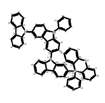 c1ccc(-n2c3ccc(-n4c5ccccc5c5ccccc54)cc3c3cc(-n4c5ccccc5c5ccc([Si]6(c7ccccc7)c7ccccc7Sc7ccccc76)cc54)ccc32)cc1